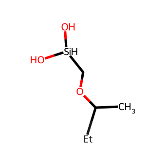 CCC(C)OC[SiH](O)O